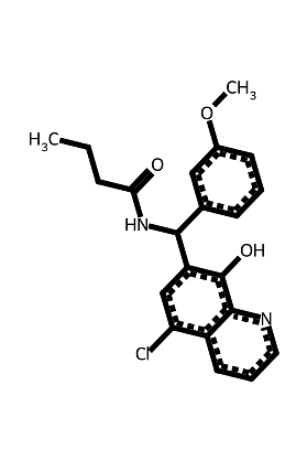 CCCC(=O)NC(c1cccc(OC)c1)c1cc(Cl)c2cccnc2c1O